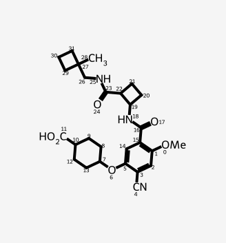 COc1cc(C#N)c(OC2CCC(C(=O)O)CC2)cc1C(=O)NC1CCC1C(=O)NCC1(C)CCC1